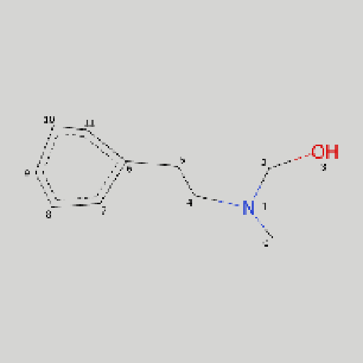 CN(CO)CCc1ccccc1